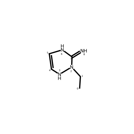 CCN1NC=CNC1=N